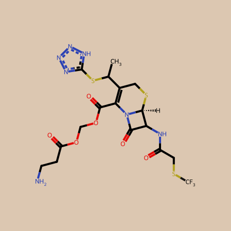 CC(Sc1nnn[nH]1)C1=C(C(=O)OCOC(=O)CCN)N2C(=O)C(NC(=O)CSC(F)(F)F)[C@@H]2SC1